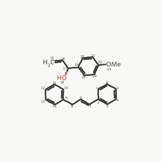 C(=C\c1ccccc1)/Cc1ccccc1.C=CC(O)c1ccc(OC)cc1